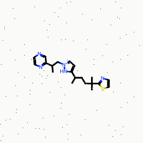 CC(C[n+]1ccc(C(C)CCC(C)(C)c2nccs2)[nH]1)c1cnccn1